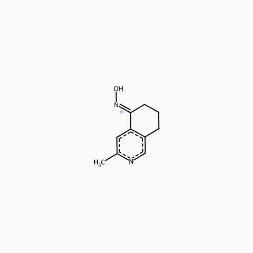 Cc1cc2c(cn1)CCC/C2=N\O